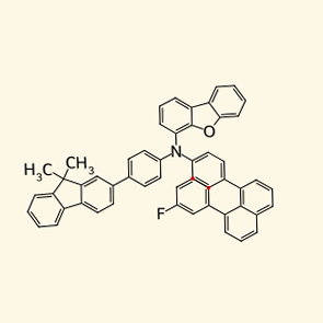 CC1(C)c2ccccc2-c2ccc(-c3ccc(N(c4ccc(-c5cccc6cccc(-c7cccc(F)c7)c56)cc4)c4cccc5c4oc4ccccc45)cc3)cc21